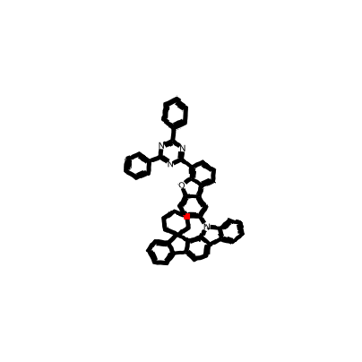 c1ccc(-c2nc(-c3ccccc3)nc(-c3cccc4c3oc3ccc(-n5c6ccccc6c6ccc7c(c65)C5(CCCCC5)c5ccccc5-7)cc34)n2)cc1